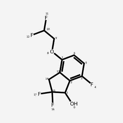 OC1c2c(F)ccc(OCC(F)F)c2CC1(F)F